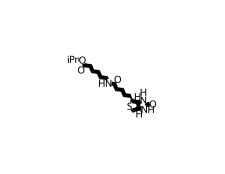 CC(C)OC(=O)CCCCCNC(=O)CCCC[C@@H]1SC[C@@H]2NC(=O)N[C@@H]21